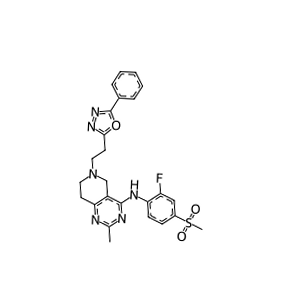 Cc1nc2c(c(Nc3ccc(S(C)(=O)=O)cc3F)n1)CN(CCc1nnc(-c3ccccc3)o1)CC2